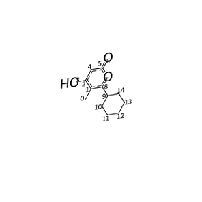 Cc1c(O)cc(=O)oc1C1CCCCC1